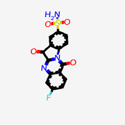 NS(=O)(=O)c1ccc2c(c1)C(=O)c1nc3cc(F)ccc3c(=O)n1-2